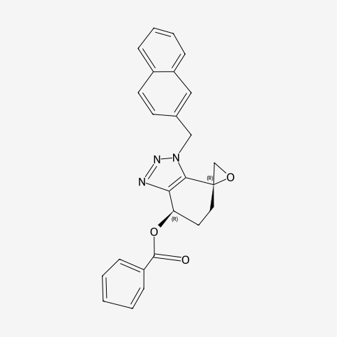 O=C(O[C@@H]1CC[C@]2(CO2)c2c1nnn2Cc1ccc2ccccc2c1)c1ccccc1